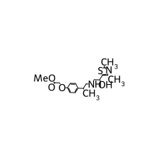 COC(=O)COc1ccc(C(C)CNCC(O)c2sc(C)nc2C)cc1